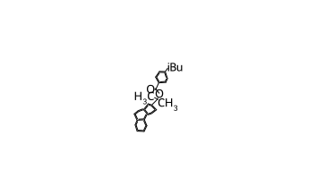 CCC(C)c1ccc(C(=O)OC(C)(C)c2ccc3c(ccc4ccccc43)c2)cc1